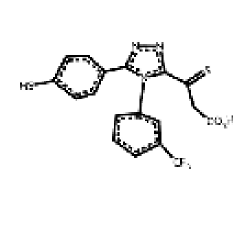 O=C(O)CC(=S)c1nnc(-c2ccc(S)cc2)n1-c1cccc(C(F)(F)F)c1